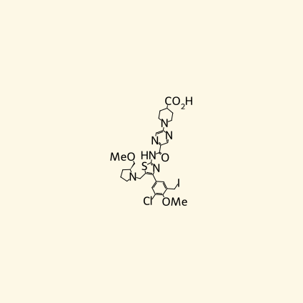 COC[C@@H]1CCCN1Cc1sc(NC(=O)c2cnc(N3CCC(C(=O)O)CC3)cn2)nc1-c1cc(Cl)c(OC)c(CI)c1